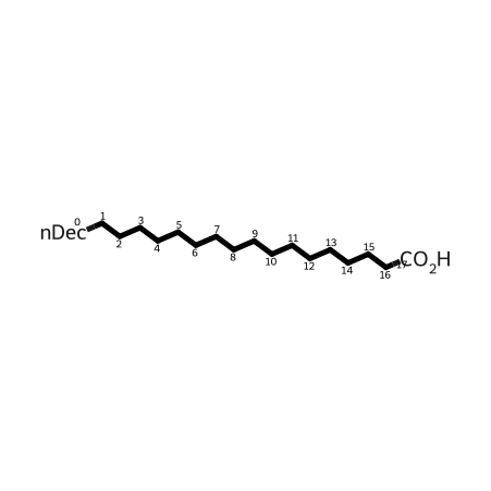 CCCCCCCCCCCCCCCCCCCCCCCCCCC(=O)O